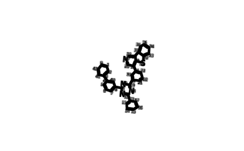 c1ccc(-c2cccc(-c3nc(-c4ccccc4)nc(-c4cccc(-c5cncc6c5sc5ccccc56)c4)n3)c2)cc1